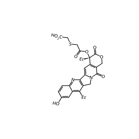 CCc1c2c(nc3ccc(O)cc13)-c1cc3c(c(=O)n1C2)COC(=O)[C@@]3(CC)OC(=O)CSCC(=O)O